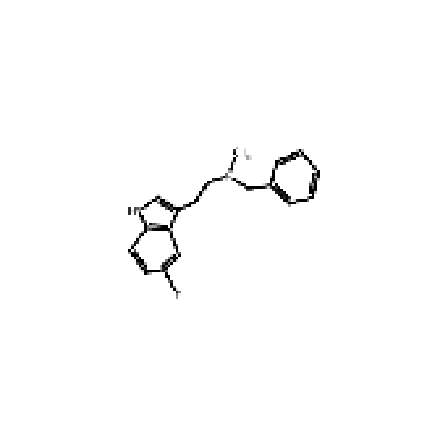 CN(CCc1c[nH]c2ccc(F)cc12)Cc1ccccc1